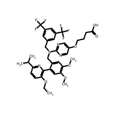 CCOc1ccc(C(C)C)nc1-c1cc(OC)c(OC)cc1CN(Cc1cc(C(F)(F)F)cc(C(F)(F)F)c1)c1ncc(OCCCC(=O)O)cn1